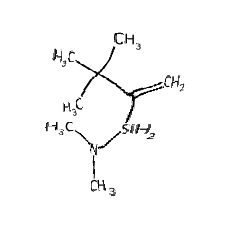 C=C([SiH2]N(C)C)C(C)(C)C